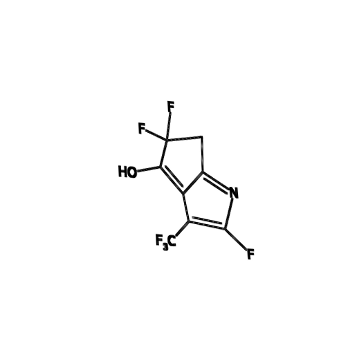 OC1=C2C(=NC(F)=C2C(F)(F)F)CC1(F)F